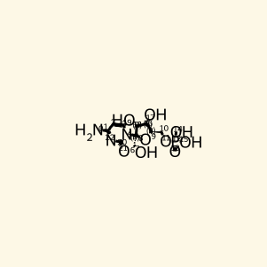 Nc1ccn([C@]2(CO)O[C@H](COP(=O)(O)O)[C@@H](O)[C@H]2O)c(=O)n1